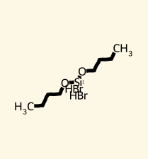 Br.Br.CCCCO[Si]OCCCC